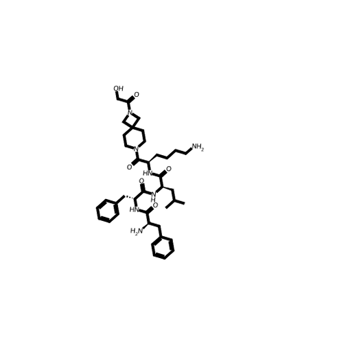 CC(C)C[C@@H](NC(=O)[C@@H](Cc1ccccc1)NC(=O)[C@H](N)Cc1ccccc1)C(=O)N[C@H](CCCCN)C(=O)N1CCC2(CC1)CN(C(=O)CO)C2